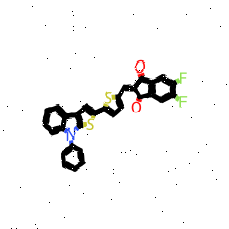 O=C1C(=Cc2ccc(-c3cc4c5ccccc5n(-c5ccccc5)c4s3)s2)C(=O)c2cc(F)c(F)cc21